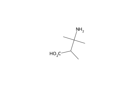 CC(C(=O)O)C(C)(C)N